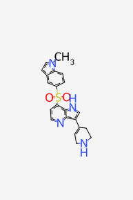 Cn1ccc2cc(S(=O)(=O)c3ccnc4c(C5=CCNCC5)c[nH]c34)ccc21